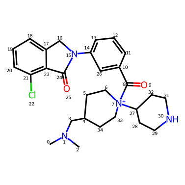 CN(C)CC1CC[N+](C(=O)c2cccc(N3Cc4cccc(Cl)c4C3=O)c2)(C2CCNCC2)CC1